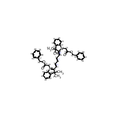 CC1(C)C(/C=C/C=C/C=C2/N(CC(=O)OCc3ccccc3)c3ccccc3C2(C)C)=[N+](CC(=O)OCc2ccccc2)c2ccccc21